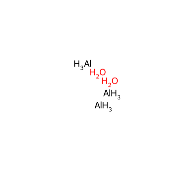 O.O.[AlH3].[AlH3].[AlH3]